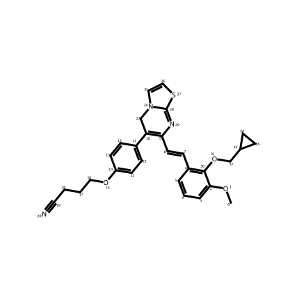 COc1cccc(C=CC2=C(c3ccc(OCCCC#N)cc3)CN3C=CSC3=N2)c1OCC1CC1